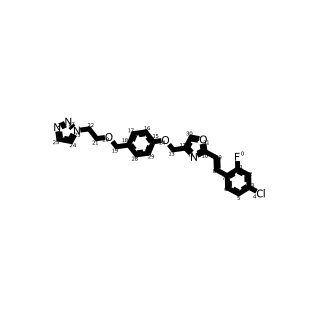 Fc1cc(Cl)ccc1/C=C/c1nc(COc2ccc(COCCn3ccnn3)cc2)co1